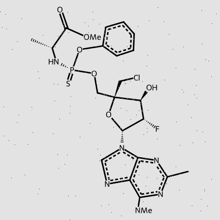 CNc1nc(C)nc2c1ncn2[C@@H]1O[C@](CCl)(CO[P@](=S)(N[C@H](C)C(=O)OC)Oc2ccccc2)[C@@H](O)[C@@H]1F